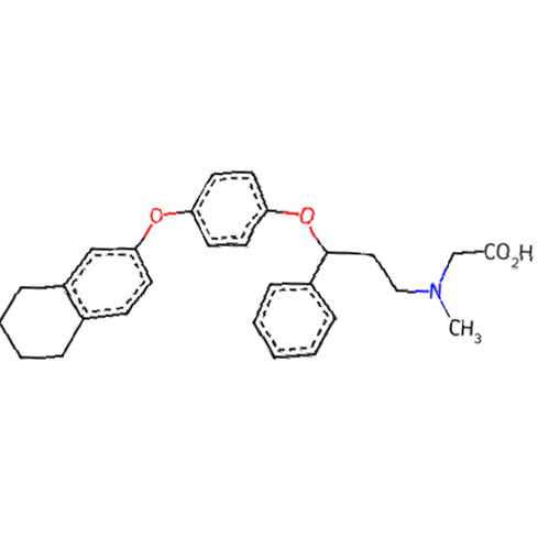 CN(CCC(Oc1ccc(Oc2ccc3c(c2)CCCC3)cc1)c1ccccc1)CC(=O)O